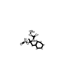 CC(C)(C)OC(=O)NC(C)(CC1CCCCC1)O[PH2]=O